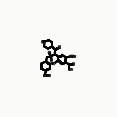 CCCC(=O)c1cc(C#N)c(N(C(=O)C2CCNCC2)S(=O)(=O)Cc2ccc(OC)cc2)nc1SC